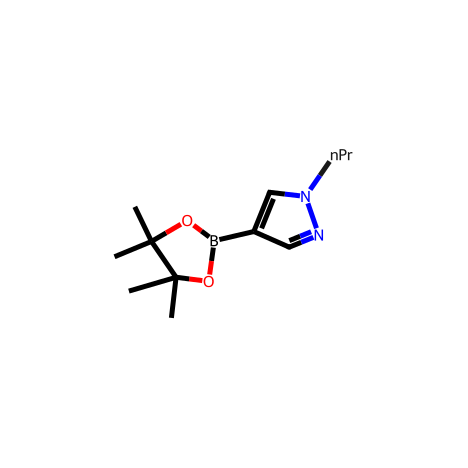 CCCn1cc(B2OC(C)(C)C(C)(C)O2)cn1